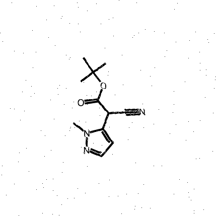 Cn1nccc1C(C#N)C(=O)OC(C)(C)C